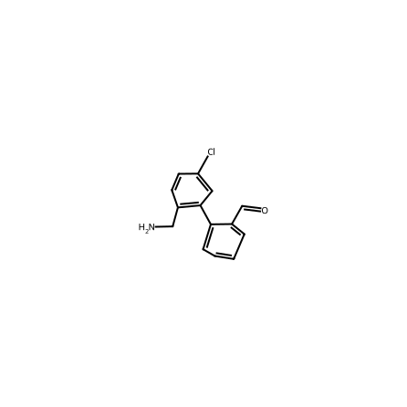 NCc1ccc(Cl)cc1-c1ccccc1C=O